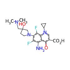 CN(C)CC1(O)CCN(c2c(F)c(N)c3c(=O)c(C(=O)O)cn(C4CC4)c3c2F)C1